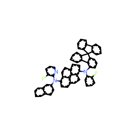 Fc1ccccc1N(c1cccc2c1-c1ccccc1C21c2ccccc2-c2ccccc21)c1ccc2ccc3c(N(c4ccc5ccccc5c4)c4ncccc4F)ccc4ccc1c2c43